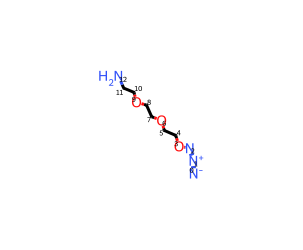 [N-]=[N+]=NOCCOCCOCCN